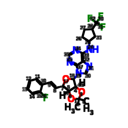 CC1(C)O[C@H]2[C@H](O1)[C@@H](C=Cc1ccccc1F)O[C@H]2n1cnc2c(NC3CCC(C(F)(F)F)C3)ncnc21